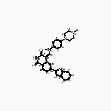 CN1CCN(c2ccc(N/C=C3\C(=O)NC(=O)c4ccc(-c5cc6ccccc6s5)cc43)cc2)CC1